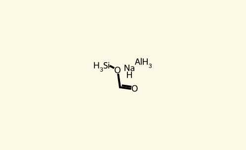 O=CO[SiH3].[AlH3].[NaH]